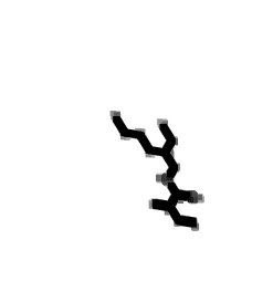 C=CC(=C)C(=O)OCC(CC)CCCC